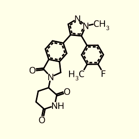 Cc1cc(-c2c(-c3ccc4c(c3)CN(C3CCC(=O)NC3=O)C4=O)cnn2C)ccc1F